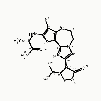 C[C@H](Nc1sc2c(c1F)OCCn1cc(N3C(=O)OC[C@H]3C(F)F)nc1-2)C(N)=O